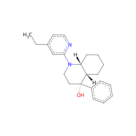 CCc1ccnc(N2CC[C@](O)(c3ccccc3)[C@H]3CCCC[C@H]32)c1